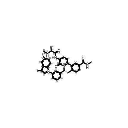 CNC(=O)c1ccc(C)c(-c2ccc(NC(=O)C(C)NC)c(=O)n2Cc2cccc(-n3cc(C)c4cc(F)ccc43)c2)c1